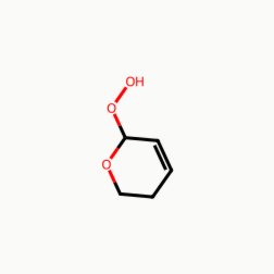 OOC1C=CCCO1